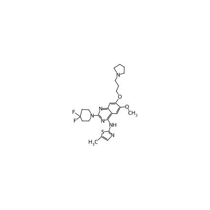 COc1cc2c(Nc3ncc(C)s3)nc(N3CCC(F)(F)CC3)nc2cc1OCCCN1CCCC1